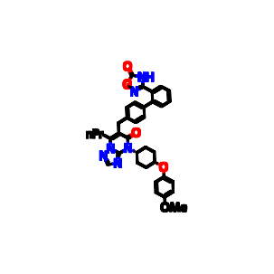 CCCc1c(Cc2ccc(-c3ccccc3-c3noc(=O)[nH]3)cc2)c(=O)n([C@H]2CC[C@@H](Oc3ccc(OC)cc3)CC2)c2ncnn12